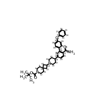 CC(C)(C)OC(=O)N1CCC2(CC1)CC(N1CCC(c3ccc(C(N)=O)c(-c4ccc(Oc5ccccc5)cc4)n3)CC1)C2